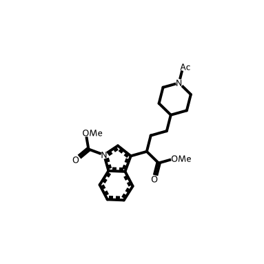 COC(=O)C(CCC1CCN(C(C)=O)CC1)c1cn(C(=O)OC)c2ccccc12